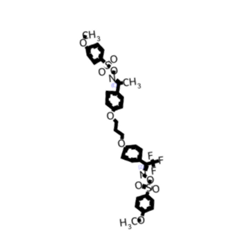 COc1ccc(S(=O)(=O)O/N=C(/c2ccc(OCCCOc3ccc(/C(C)=N/OS(=O)(=O)c4ccc(OC)cc4)cc3)cc2)C(F)(F)F)cc1